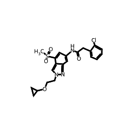 CS(=O)(=O)c1cc(NC(=O)Cc2ccccc2Cl)cc2nn(CCOC3CC3)cc12